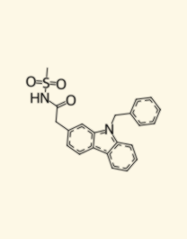 CS(=O)(=O)NC(=O)Cc1ccc2c3ccccc3n(Cc3ccccc3)c2c1